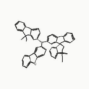 CC1(C)CC2(c3ccccc3-c3ccc(N(c4ccc5c(c4)C(C)(C)c4ccccc4-5)c4ccc5oc6ccccc6c5c4)cc32)c2ccccc21